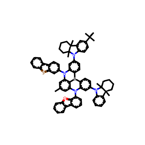 Cc1cc2c3c(c1)N(c1cccc4c1oc1ccccc14)c1cc(N4c5ccccc5C5(C)CCCCC45C)ccc1B3c1ccc(N3c4ccc(C(C)(C)C)cc4C4(C)CCCCC34C)cc1N2c1ccc2c(c1)sc1ccccc12